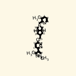 Cc1cccnc1CN1C[C@H]2CC(COc3ccc(-c4cn(C)nc4C)nn3)C[C@H]2C1